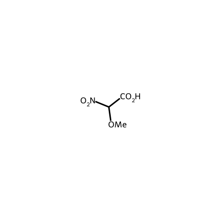 COC(C(=O)O)[N+](=O)[O-]